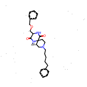 CCCN1C(=O)C(COCc2ccccc2)NC(=O)C12CCN(CCCCCc1ccccc1)CC2